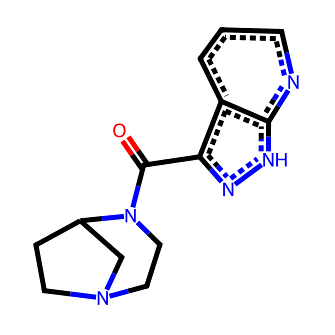 O=C(c1n[nH]c2ncccc12)N1CCN2CCC1C2